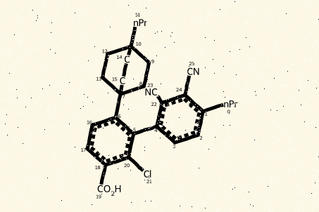 CCCc1ccc(-c2c(C34CCC(CCC)(CC3)CC4)ccc(C(=O)O)c2Cl)c(C#N)c1C#N